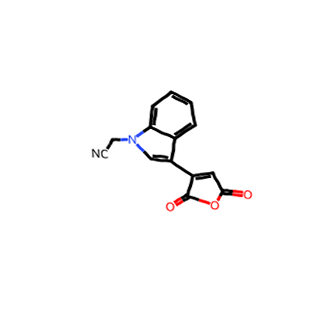 N#CCn1cc(C2=CC(=O)OC2=O)c2ccccc21